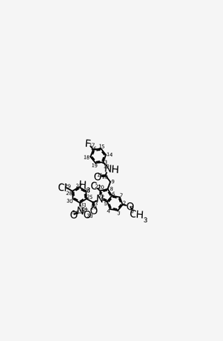 COc1ccc2c(c1)c(CC(=O)Nc1ccc(F)cc1)c(C)n2C(=O)c1ccc(Cl)cc1[N+](=O)[O-]